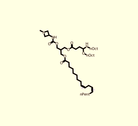 CCCCC/C=C\C/C=C\CCCCCCCC(=O)OCC(COC(=O)CCC(NCCCCCCCC)OCCCCCCCC)COC(=O)NC1CN(C)C1